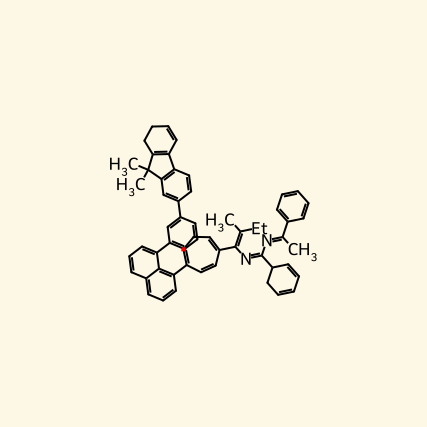 CC\C(C)=C(/N=C(\N=C(/C)c1ccccc1)C1C=CC=CC1)C1=CCC=C(c2cccc3cccc(-c4cccc(-c5ccc6c(c5)C(C)(C)C5=C6C=CCC5)c4)c23)C=C1